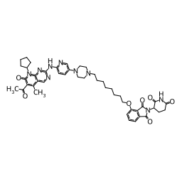 CC(=O)c1c(C)c2cnc(Nc3ccc(N4CCN(CCCCCCCCOc5cccc6c5C(=O)N(C5CCC(=O)NC5=O)C6=O)CC4)cn3)nc2n(C2CCCC2)c1=O